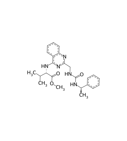 COC(=O)[C@@H](Nc1nc(CNC(=O)N[C@H](C)c2ccccc2)nc2ccccc12)C(C)C